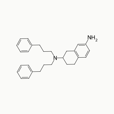 Nc1ccc2c(c1)CC(N(CCCc1ccccc1)CCCc1ccccc1)CC2